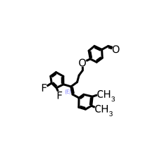 Cc1ccc(/C=C(\CCCOc2ccc(C=O)cc2)c2cccc(F)c2F)cc1C